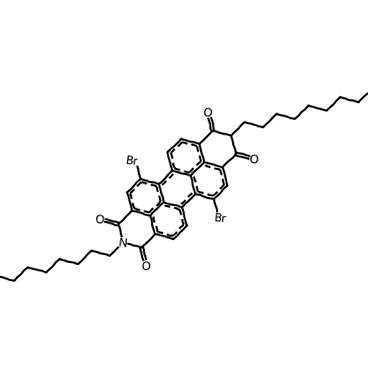 CCCCCCCCCC1C(=O)c2ccc3c4c(Br)cc5c6c(ccc(c7c(Br)cc(c2c37)C1=O)c64)C(=O)N(CCCCCCCC)C5=O